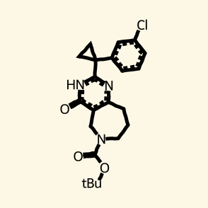 CC(C)(C)OC(=O)N1CCCc2nc(C3(c4cccc(Cl)c4)CC3)[nH]c(=O)c2C1